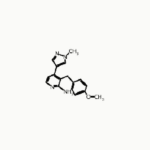 COc1ccc(Cc2c(-c3cnn(C)c3)ccnc2N)cc1